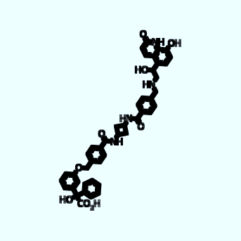 O=C(NC1CC(NC(=O)c2ccc(COc3cccc(C(O)(C(=O)O)c4ccccc4)c3)cc2)C1)c1ccc(CNCC(O)c2ccc(O)c3[nH]c(=O)ccc23)cc1